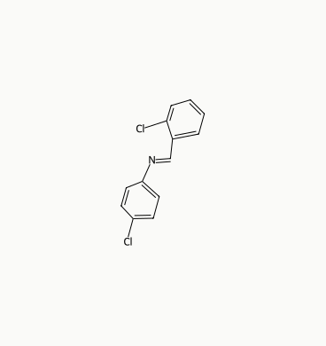 Clc1ccc(N=Cc2ccccc2Cl)cc1